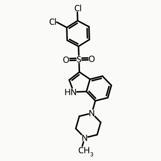 CN1CCN(c2cccc3c(S(=O)(=O)c4ccc(Cl)c(Cl)c4)c[nH]c23)CC1